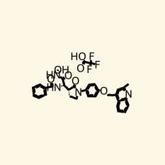 Cc1cc(COc2ccc(N3CC[C@H]([C@H](NC(=O)c4ccccc4)C(=O)NO)C3=O)cc2)c2ccccc2n1.O=C(O)C(F)(F)F